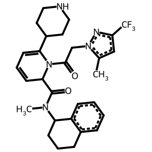 Cc1cc(C(F)(F)F)nn1CC(=O)N1C(C2CCNCC2)=CC=CC1C(=O)N(C)C1CCCc2ccccc21